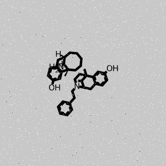 CC1C2Cc3ccc(O)cc3C1(C)CCN2CCc1ccccc1.C[C@@]12CCCCC[C@@H](Cc3ccc(O)cc31)[C@@H]2N